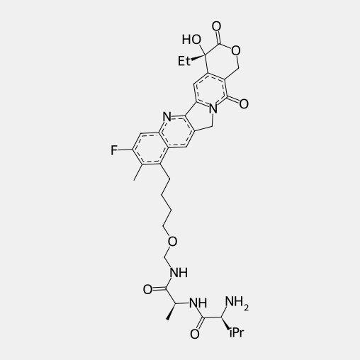 CC[C@@]1(O)C(=O)OCc2c1cc1n(c2=O)Cc2cc3c(CCCCOCNC(=O)[C@H](C)NC(=O)[C@@H](N)C(C)C)c(C)c(F)cc3nc2-1